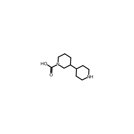 O=C(O)N1CCCC(C2CCNCC2)C1